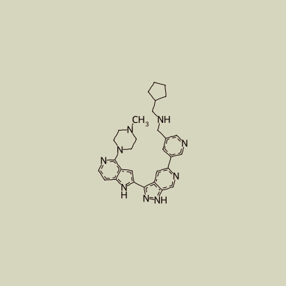 CN1CCN(c2nccc3[nH]c(-c4n[nH]c5cnc(-c6cncc(CNCC7CCCC7)c6)cc45)cc23)CC1